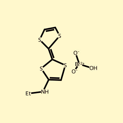 CCNC1=CSC(=C2SC=CS2)S1.[O-][Br+2]([O-])O